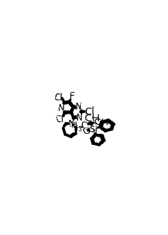 CC(C)(C)[Si](OC[C@@H]1C=CCCCN1c1nc(Cl)nc2c(F)c(Cl)nc(Cl)c12)(c1ccccc1)c1ccccc1